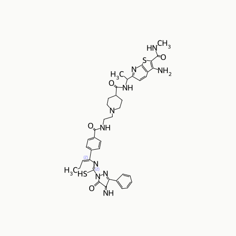 CC/C=C(\N=C(/S)N1N=C(c2ccccc2)C(=N)C1=O)c1ccc(C(=O)NCCN2CCC(C(=O)NC(C)c3ccc4c(N)c(C(=O)NC)sc4n3)CC2)cc1